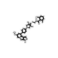 CCOc1cc(-c2ccc(N3C[C@@H]4[C@H](CCNC(=O)c5c(F)cccc5Cl)[C@@H]4C3)nc2)c2c3cn[nH]c3nn2c1